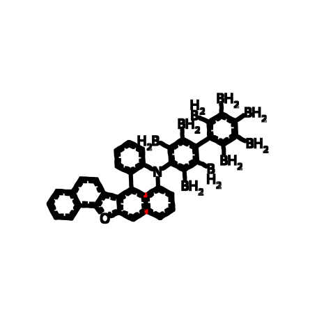 Bc1c(B)c(B)c(-c2c(B)c(B)c(N(c3ccccc3)c3ccccc3-c3cccc4oc5c6ccccc6ccc5c34)c(B)c2B)c(B)c1B